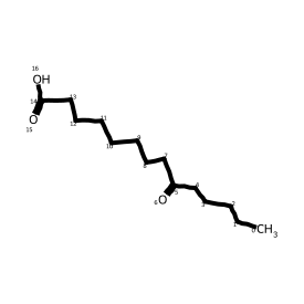 CCCCCC(=O)CCCCCCCC(=O)O